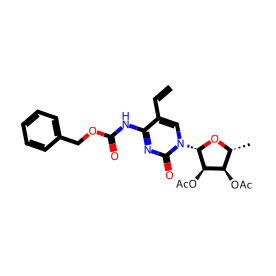 C=Cc1cn([C@@H]2O[C@H](C)[C@@H](OC(C)=O)[C@H]2OC(C)=O)c(=O)nc1NC(=O)OCc1ccccc1